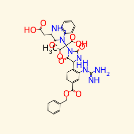 CC(=O)[C@](C(=O)O)(N1C(=O)NC(c2ccc(C(=O)OCc3ccccc3)cc2NC(=N)N)C1=O)N(C(=O)[C@@H](N)CC(=O)O)c1ccccc1